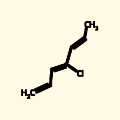 C=C/C=C(Cl)/C=C/C